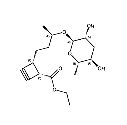 CCOC(=O)[C@@H]1C#C[C@@H]1CC[C@@H](C)O[C@@H]1O[C@@H](C)[C@H](O)C[C@H]1O